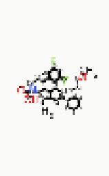 COCCCc1ccccc1-c1ccc(C2CN(C(=O)O)CCC2c2cc(F)cc(F)c2)c(C)c1